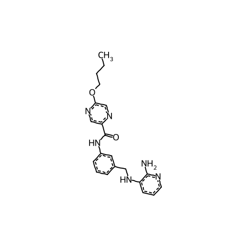 CCCCOc1cnc(C(=O)Nc2cccc(CNc3cccnc3N)c2)cn1